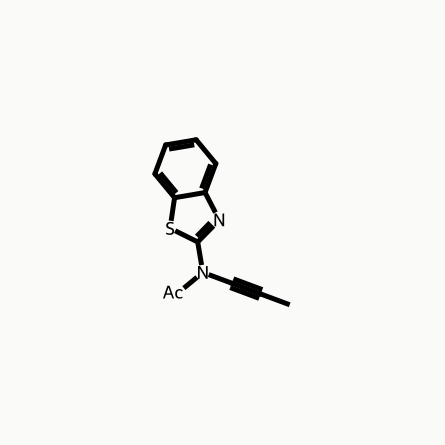 CC#CN(C(C)=O)c1nc2ccccc2s1